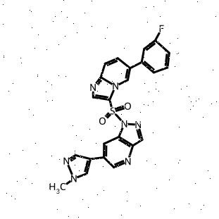 Cn1cc(-c2cnc3cnn(S(=O)(=O)c4cnc5ccc(-c6cccc(F)c6)cn45)c3c2)cn1